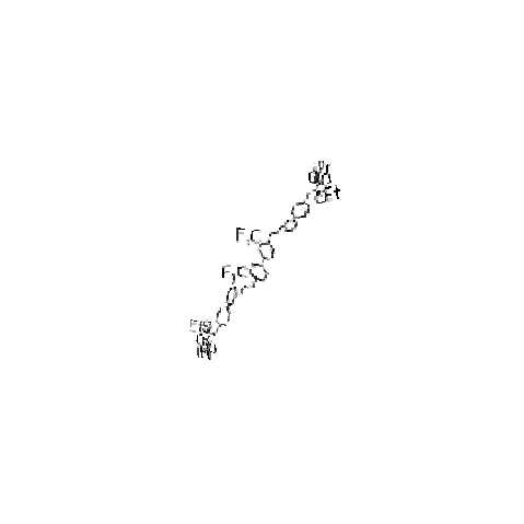 CCOC(Cc1ccc(OCCCc2ccc(-c3ccc(CCCOc4ccc(CC(OCC)C(=O)OC(C)C)cc4)c(C(F)(F)F)c3)cc2C(F)(F)F)cc1)C(=O)OC(C)C